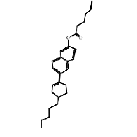 CCCCCC(=O)Oc1ccc2cc(C3=CCC(CCCCC)CC3)ccc2c1